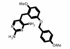 COc1ccc(COc2ccc(OC)c(Cc3cnc(N)nc3N)c2)cc1